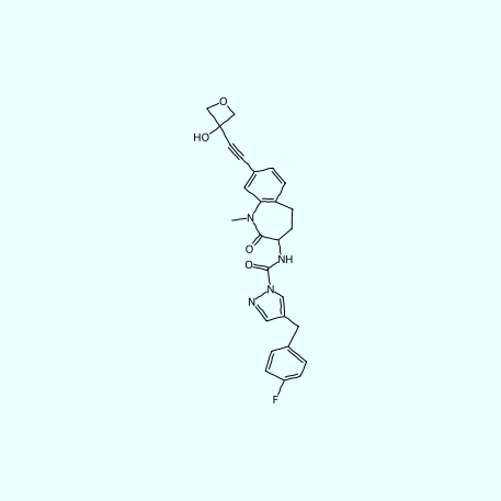 CN1C(=O)C(NC(=O)n2cc(Cc3ccc(F)cc3)cn2)CCc2ccc(C#CC3(O)COC3)cc21